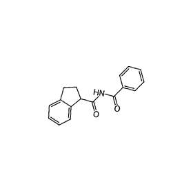 O=C(NC(=O)C1CCc2ccccc21)c1ccccc1